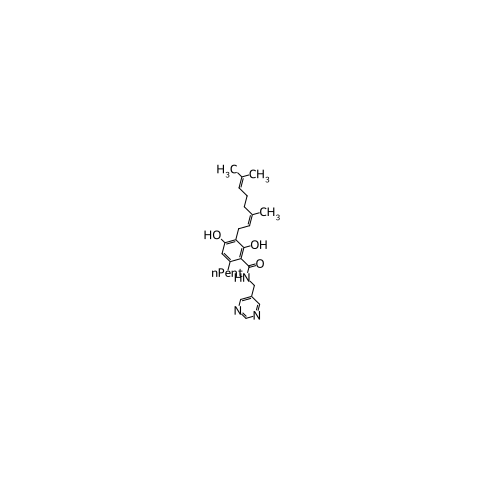 CCCCCc1cc(O)c(CC=C(C)CCC=C(C)C)c(O)c1C(=O)NCc1cncnc1